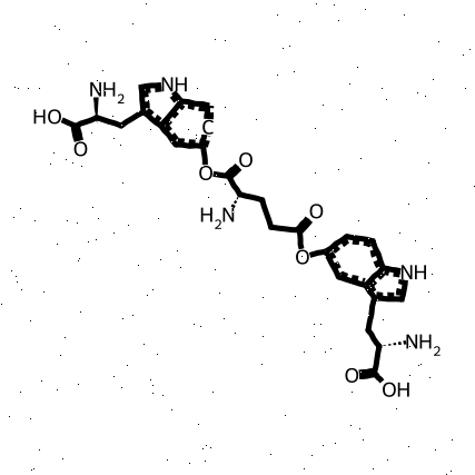 N[C@@H](Cc1c[nH]c2ccc(OC(=O)CC[C@H](N)C(=O)Oc3ccc4[nH]cc(C[C@H](N)C(=O)O)c4c3)cc12)C(=O)O